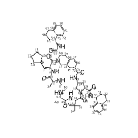 CN[C@@H](C)C(=O)N[C@@H](CC1CCCC1)C(=O)N1Cc2cc(C(=O)N[C@H]3C[C@@H](C(=O)N[C@@H]4CCCc5ccccc54)N(C(=O)[C@@H](NC(=O)[C@H](C)NC)C(C)(C)C)C3)ccc2C[C@H]1C(=O)N[C@@H]1CCCc2ccccc21